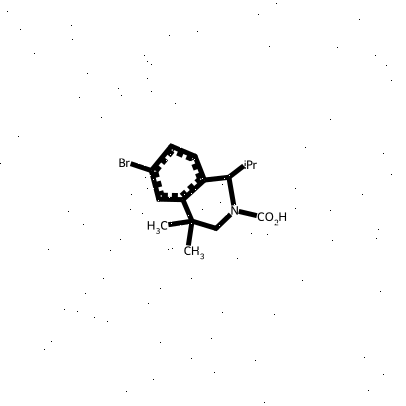 CC(C)C1c2ccc(Br)cc2C(C)(C)CN1C(=O)O